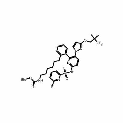 CC(C)(C)OC(=O)NCCCCCCc1ccccc1-c1nc(NS(=O)(=O)c2cccc(F)n2)ccc1-n1ccc(OCC(C)(C)C(F)(F)F)n1